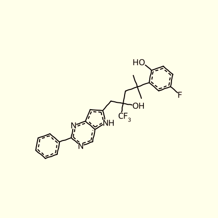 CC(C)(CC(O)(Cc1cc2nc(-c3ccccc3)ncc2[nH]1)C(F)(F)F)c1cc(F)ccc1O